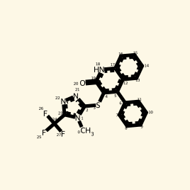 Cn1c(Sc2c(-c3ccccc3)c3ccccc3[nH]c2=O)nnc1C(F)(F)F